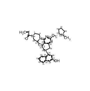 C=CC(=O)N1CCN(c2nc(OC[C@@H]3CCCN3C)nc3c2CCN(c2cc(O)cc4ccccc24)C3)[C@@H](C)C1